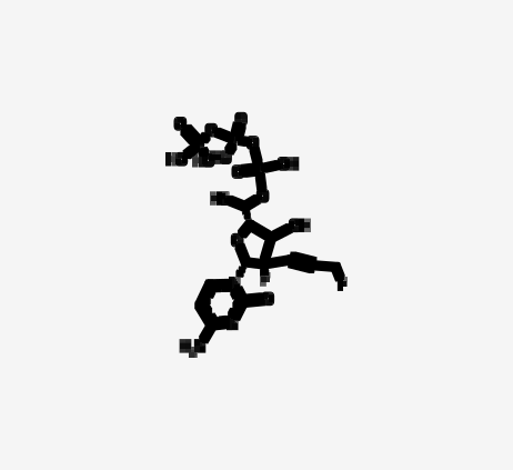 Nc1ccn([C@@H]2O[C@H](C(S)OP(=O)(O)OP(=O)(O)OP(=O)(O)O)C(O)[C@]2(F)C#CCF)c(=O)n1